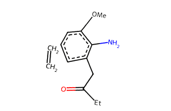 C=C.CCC(=O)Cc1cccc(OC)c1N